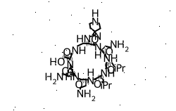 CC(C)C[C@@H]1NC(=O)[C@@H](CC(C)C)NC(=O)[C@H](CCN)NC(=O)[C@@H](NC2=NC23CCNCC3)CCNC(=O)[C@H]([C@@H](C)O)NC(=O)[C@H](CCN)NC(=O)[C@H](CCN)NC1=O